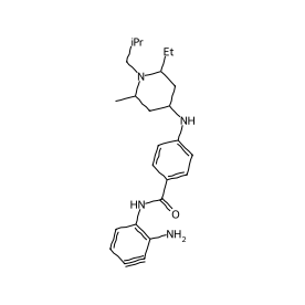 CCC1CC(Nc2ccc(C(=O)Nc3ccc#cc3N)cc2)CC(C)N1CC(C)C